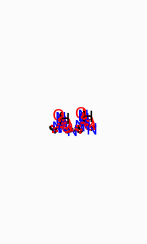 C=CC(=O)N1C[C@@H]2COc3c(OC[C@@H]4CCCN4C)nc4c(c3N2C[C@H]1C)CCN(c1ccc(CN2CCc3c(cccc3Oc3nc5c(c6c3OC[C@H]3CN(C(=O)C=C)[C@H](C)CN63)CCN(c3cccc6c3CCCC6)C5)C2)c2c1CCCC2)C4